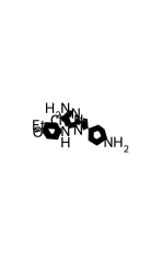 CCOc1ccc(Nc2c(Cl)c(N)nn3cc([C@H]4CC[C@H](N)CC4)nc23)cc1